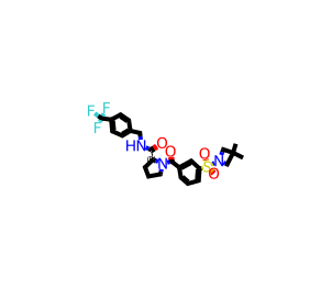 CC1(C)CN(S(=O)(=O)c2cccc(C(=O)N3CCC[C@@H]3C(=O)NCc3ccc(C(F)(F)F)cc3)c2)C1